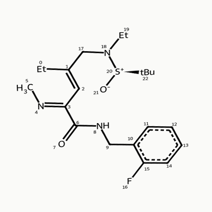 CC/C(=C\C(=N/C)C(=O)NCc1ccccc1F)CN(CC)[S@+]([O-])C(C)(C)C